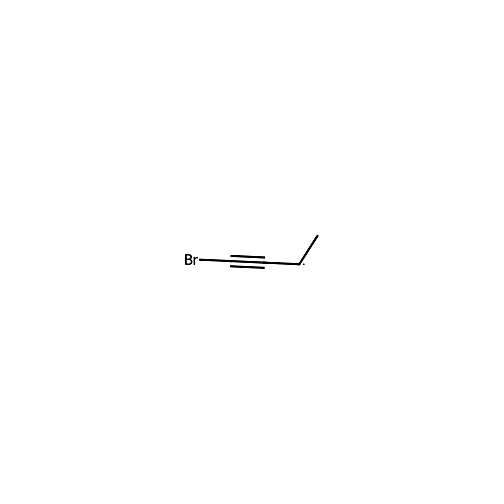 C[CH]C#CBr